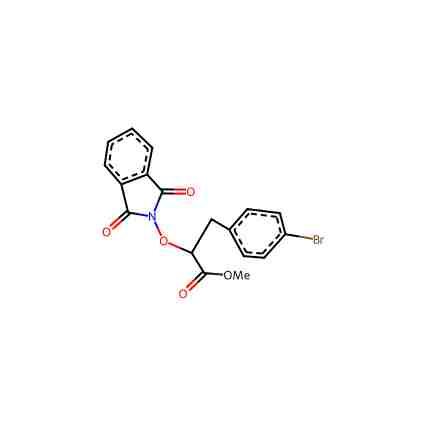 COC(=O)C(Cc1ccc(Br)cc1)ON1C(=O)c2ccccc2C1=O